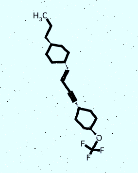 CCC[C@H]1CC[C@H](/C=C/C#C[C@H]2CC[C@H](OC(F)(F)F)CC2)CC1